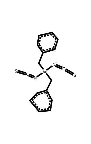 S=C=[N][Sn]([CH2]c1ccccc1)([CH2]c1ccccc1)[N]=C=S